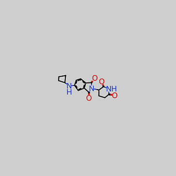 O=C1CCC(N2C(=O)c3ccc(NC4CCC4)cc3C2=O)C(=O)N1